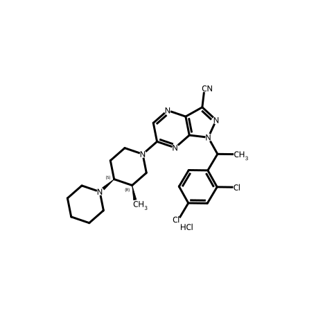 CC(c1ccc(Cl)cc1Cl)n1nc(C#N)c2ncc(N3CC[C@H](N4CCCCC4)[C@H](C)C3)nc21.Cl